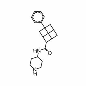 O=C(NC1CCNCC1)C1C2CC3CC4(c5ccccc5)CC1C324